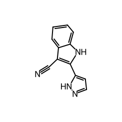 N#Cc1c(-c2ccn[nH]2)[nH]c2ccccc12